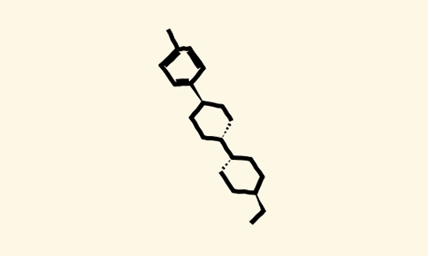 CC[C@H]1CC[C@H]([C@H]2CC[C@H](c3ccc(C)cc3)CC2)CC1